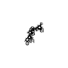 O=C1CCc2cc(N3CCC(O)(OC(=O)NCc4cc(F)cc(Cl)c4)C3=O)cc(F)c2N1